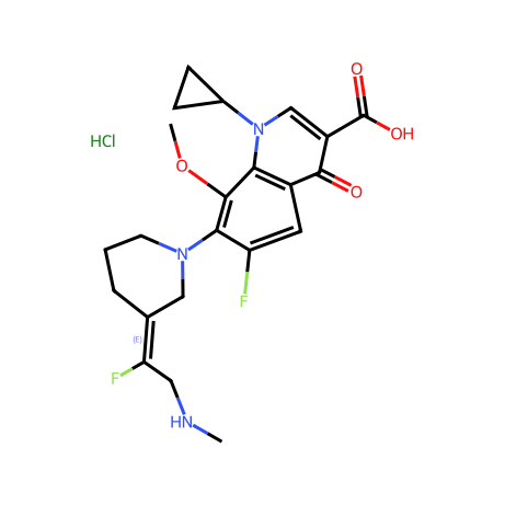 CNC/C(F)=C1/CCCN(c2c(F)cc3c(=O)c(C(=O)O)cn(C4CC4)c3c2OC)C1.Cl